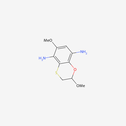 COc1cc(N)c2c(c1N)SCC(OC)O2